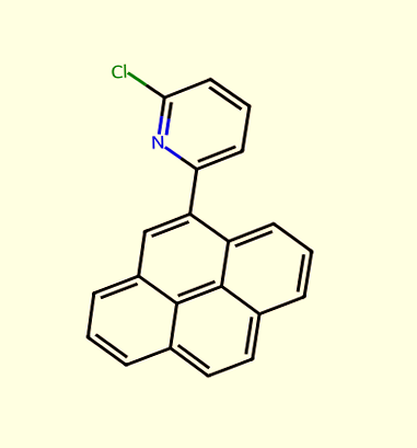 Clc1cccc(-c2cc3cccc4ccc5cccc2c5c43)n1